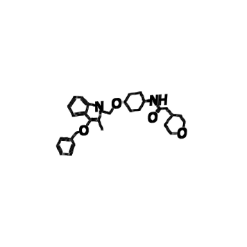 Cc1c(CO[C@H]2CC[C@H](NC(=O)CC3CCOCC3)CC2)nc2ccccc2c1OCc1ccccc1